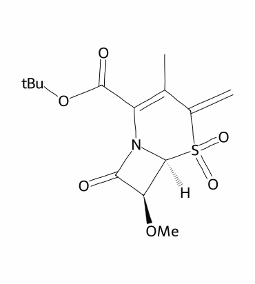 C=C1C(C)=C(C(=O)OC(C)(C)C)N2C(=O)[C@H](OC)[C@@H]2S1(=O)=O